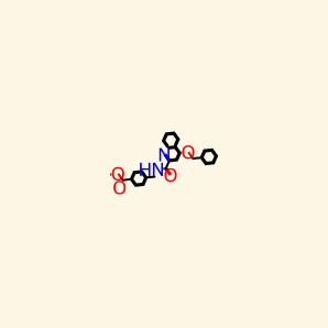 COC(=O)c1ccc(CNC(=O)c2cc(OCc3ccccc3)c3ccccc3n2)cc1